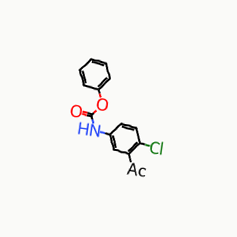 CC(=O)c1cc(NC(=O)Oc2ccccc2)ccc1Cl